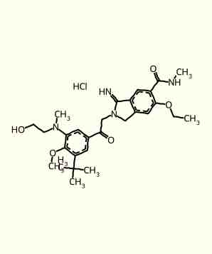 CCOc1cc2c(cc1C(=O)NC)C(=N)N(CC(=O)c1cc(N(C)CCO)c(OC)c(C(C)(C)C)c1)C2.Cl